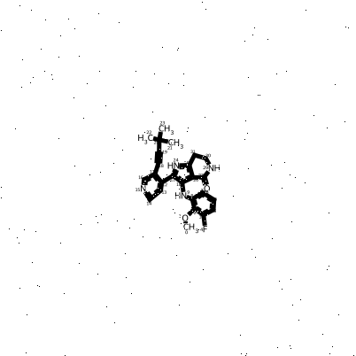 COc1c(F)cccc1Nc1c(-c2ccncc2C#CC(C)(C)C)[nH]c2c1C(=O)NCC2